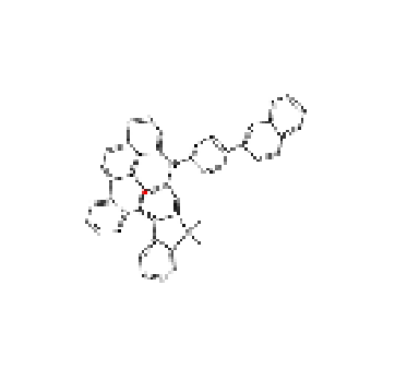 CC1(C)c2ccccc2-c2ccc(N(c3ccc(-c4ccc5ccccc5c4)cc3)c3cccc4ccc5c6ccccc6ccc5c34)cc21